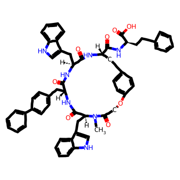 CN1C(=O)COc2ccc(cc2)C[C@@H](C(=O)N[C@H](CCc2ccccc2)C(=O)O)NC(=O)[C@H](Cc2c[nH]c3ccccc23)NC(=O)[C@@H](Cc2ccc(-c3ccccc3)cc2)NC(=O)[C@@H]1Cc1c[nH]c2ccccc12